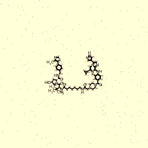 Cc1ncsc1-c1ccc(CNC(=O)[C@H]2C[C@H](O)CN2C(=O)[C@@H](NC(=O)CCCCCCNC(=O)CN2CCN(C(=O)c3ccc(Nc4nc(C5CC5)cn5c(-c6cn[nH]c6)cnc45)c(F)c3)CC2)C(C)(C)C)cc1